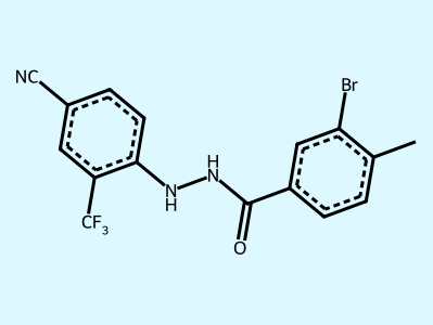 Cc1ccc(C(=O)NNc2ccc(C#N)cc2C(F)(F)F)cc1Br